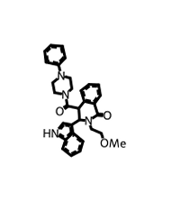 COCCN1C(=O)c2ccccc2C(C(=O)N2CCN(c3ccccc3)CC2)C1c1c[nH]c2ccccc12